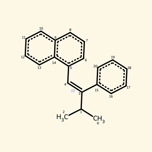 CC(C)/C(=C/c1cccc2ccccc12)c1ccccc1